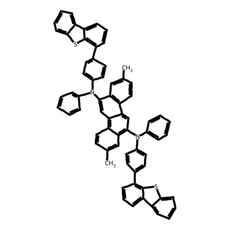 Cc1ccc2c(c1)c(N(c1ccccc1)c1ccc(-c3cccc4c3sc3ccccc34)cc1)cc1c3ccc(C)cc3c(N(c3ccccc3)c3ccc(-c4cccc5c4sc4ccccc45)cc3)cc21